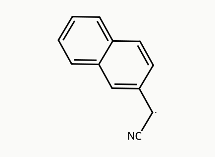 N#C[CH]c1ccc2ccccc2c1